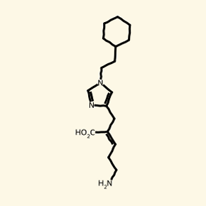 NCC/C=C(/Cc1cn(CCC2CCCCC2)cn1)C(=O)O